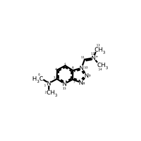 CN(C)c1ccc2c(nnn2C=[N+](C)C)n1